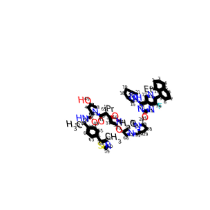 CCc1cccc2cccc(-c3ncc4c(N5CC6CCC(C5)N6)nc(OC[C@@H]5CC[C@@H](CN6CC(Oc7cc([C@H](C(=O)N8C[C@H](O)C[C@H]8C(=O)N[C@@H](C)c8ccc(-c9scnc9C)cc8)C(C)C)on7)C6)N5C)nc4c3F)c12